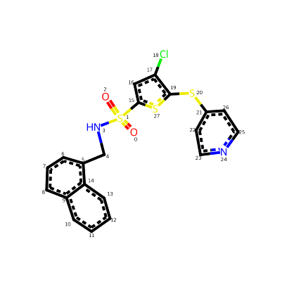 O=S(=O)(NCc1cccc2ccccc12)c1cc(Cl)c(Sc2ccncc2)s1